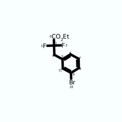 CCOC(=O)C(F)(F)Cc1cccc(Br)c1